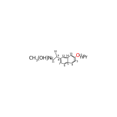 CCCOc1ccc2ccc(C(C)CN(C)O)cc2c1